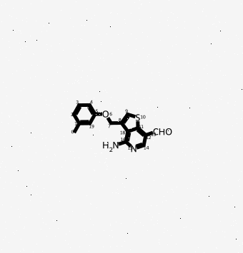 Cc1cccc(OCc2csc3c(C=O)cnc(N)c23)c1